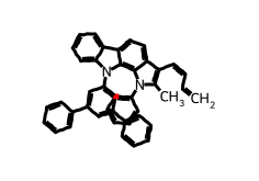 C=C/C=C\c1c(C)n(-c2ccccc2)c2c1ccc1c3ccccc3n(-c3cc(-c4ccccc4)cc(-c4ccccc4)c3)c12